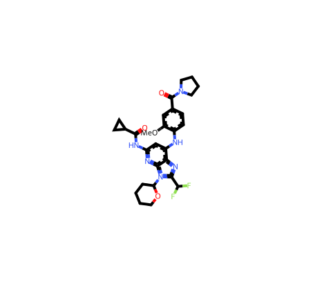 COc1cc(C(=O)N2CCCC2)ccc1Nc1cc(NC(=O)C2CC2)nc2c1nc(C(F)F)n2C1CCCCO1